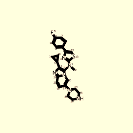 CN(c1nc(-c2ccc(F)cc2)cs1)c1c(C2CC2)nc2ccc(N3CCNCC3)cn12